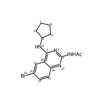 CC(=O)Nc1nc(NC2CCCC2)c2cc(Br)ccc2n1